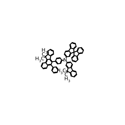 CC1(C)c2ccccc2-c2ccc(N(c3ccc(-c4c5c(c6ccccc6c4-c4ccccc4)C(C)(C)c4ccccc4-5)cc3)c3ccc4c(c3)C3(c5ccccc5-c5ccccc53)c3ccccc3-4)cc21